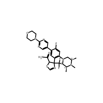 C[C@@H]1CN(c2cc(F)c(-c3cnc(N4CCOCC4)nc3)cc2C2(C(F)(F)F)N=CSC2C(N)=O)C[C@H](C)N1C